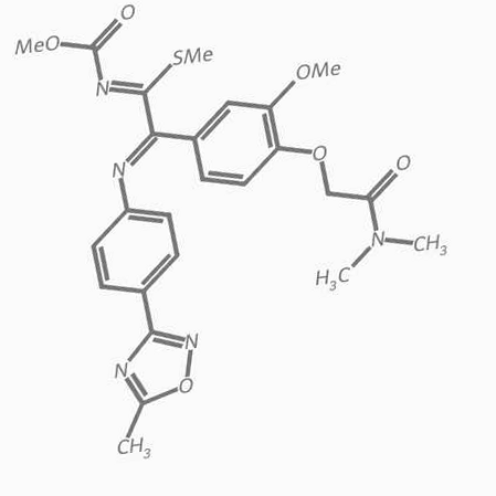 COC(=O)N=C(SC)C(=Nc1ccc(-c2noc(C)n2)cc1)c1ccc(OCC(=O)N(C)C)c(OC)c1